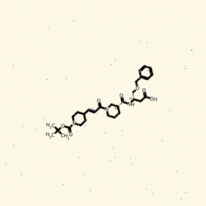 CC(C)(C)OC(=O)N1CCC(/C=C/C(=O)N2CCC[C@@H](C(=O)N[C@H](COCc3ccccc3)CC(=O)O)C2)CC1